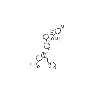 CC1(c2ccc(Cl)cc2F)Oc2cccc(C3CCN(Cc4nc5ccc(C(=O)O)cc5n4CCN4CCOCC4)CC3)c2O1